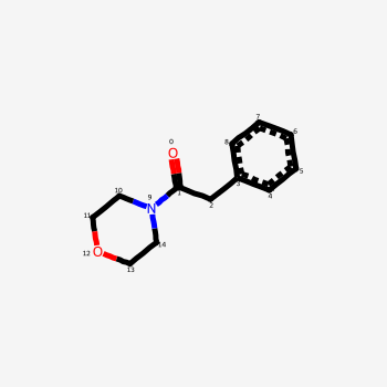 O=C(Cc1[c]cccc1)N1CCOCC1